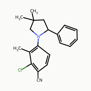 Cc1c(N2CC(C)(C)CC2c2ccccc2)ccc(C#N)c1Cl